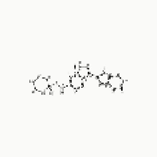 FC1(CNc2ncc3c(-c4cc5cnccc5s4)c[nH]c3n2)CCCCC1